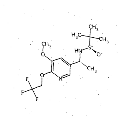 COc1cc([C@@H](C)N[S@+]([O-])C(C)(C)C)cnc1OCC(F)(F)F